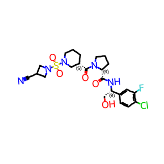 N#CC1CN(S(=O)(=O)N2CCC[C@H](C(=O)N3CCC[C@@H]3C(=O)N[C@@H](CO)c3ccc(Cl)c(F)c3)C2)C1